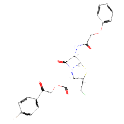 C[C@@]1(CCl)S[C@@H]2[C@H](NC(=O)COc3ccccc3)C(=O)N2[C@H]1C(=O)OCC(=O)c1ccc(Br)cc1